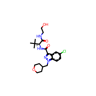 CC(C)(C)[C@H](NC(=O)c1nn(CC2CCOCC2)c2ccc(Cl)cc12)C(=O)NCCO